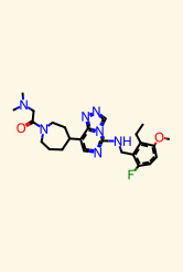 CCc1c(OC)ccc(F)c1CNc1ncc(C2CCCN(C(=O)CN(C)C)CC2)c2nncn12